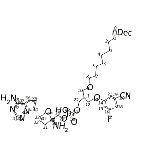 CCCCCCCCCCCCCCCCCCOCC(COc1cc(F)cc(C#N)c1)COP(=O)(O)OC[C@]1(N)CC[C@H](c2ccc3c(N)ncnn23)O1